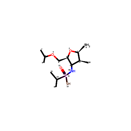 B[C@@H]1O[C@H](COC(C)C)C(NP(=O)(S)C(C)C)[C@@H]1C